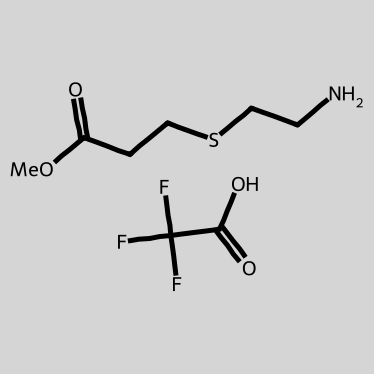 COC(=O)CCSCCN.O=C(O)C(F)(F)F